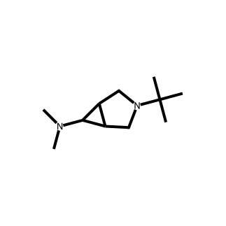 CN(C)C1C2CN(C(C)(C)C)CC21